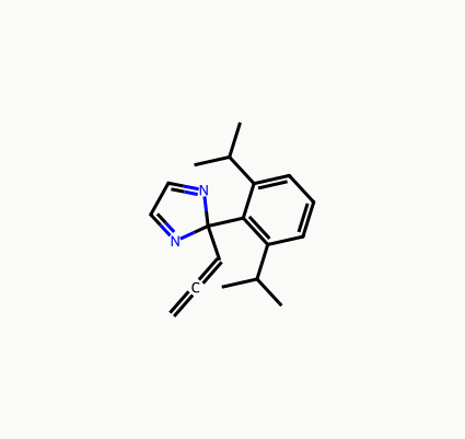 C=C=CC1(c2c(C(C)C)cccc2C(C)C)N=CC=N1